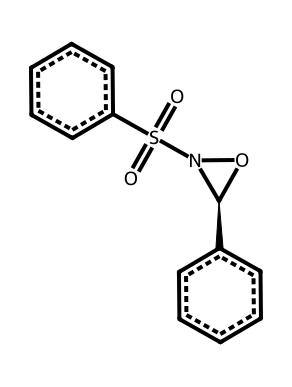 O=S(=O)(c1ccccc1)N1O[C@H]1c1ccccc1